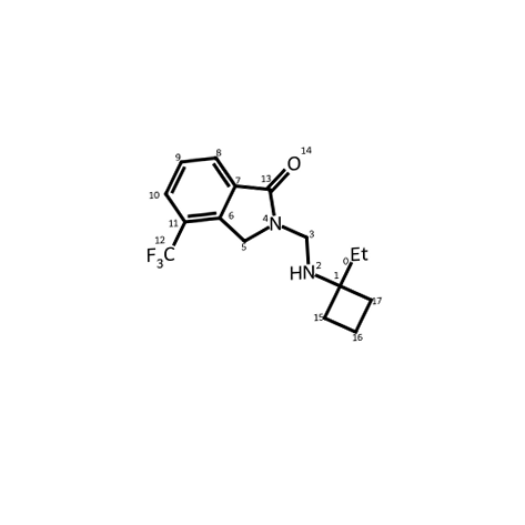 CCC1(NCN2Cc3c(cccc3C(F)(F)F)C2=O)CCC1